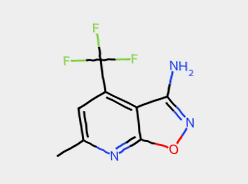 Cc1cc(C(F)(F)F)c2c(N)noc2n1